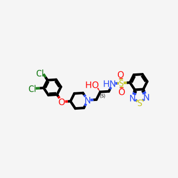 O=S(=O)(NC[C@@H](O)CN1CCC(Oc2ccc(Cl)c(Cl)c2)CC1)c1cccc2nsnc12